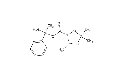 CC1OC(C)(C)OC1C(=O)OC(C)(N)c1ccccc1